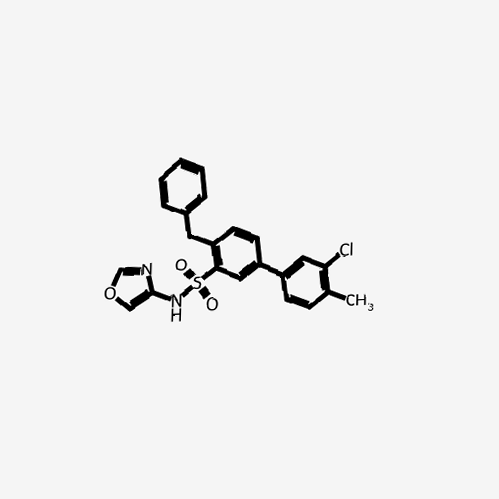 Cc1ccc(-c2ccc(Cc3ccccc3)c(S(=O)(=O)Nc3cocn3)c2)cc1Cl